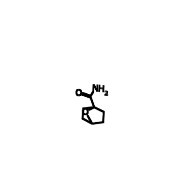 NC(=O)C12CCC(CC1)O2